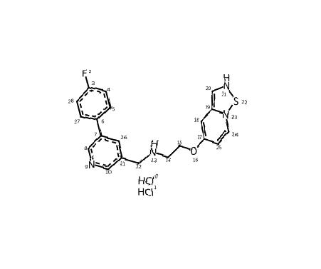 Cl.Cl.Fc1ccc(-c2cncc(CNCCOC3=CC4=CNSN4C=C3)c2)cc1